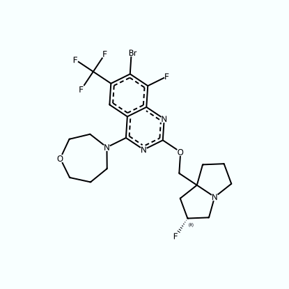 Fc1c(Br)c(C(F)(F)F)cc2c(N3CCCOCC3)nc(OCC34CCCN3C[C@H](F)C4)nc12